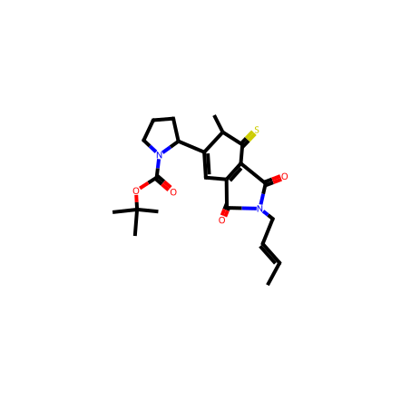 CC=CCN1C(=O)C2=C(C1=O)C(=S)C(C)C(C1CCCN1C(=O)OC(C)(C)C)=C2